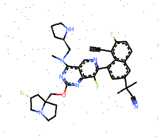 C#Cc1c(F)ccc2cc(C(C)(C)C#N)cc(-c3ncc4c(N(C)C[C@H]5CCCN5)nc(OC[C@@]56CCCN5C[C@H](F)C6)nc4c3F)c12